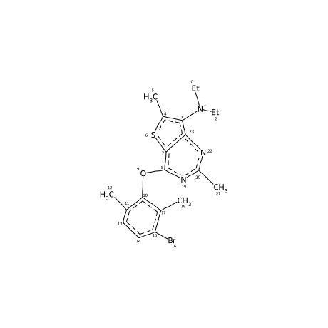 CCN(CC)c1c(C)sc2c(Oc3c(C)ccc(Br)c3C)nc(C)nc12